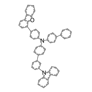 c1ccc(-c2ccc(N(c3ccc(-c4cccc(-n5c6ccccc6c6ccccc65)c4)cc3)c3ccc(-c4cccc5c4oc4ccccc45)cc3)cc2)cc1